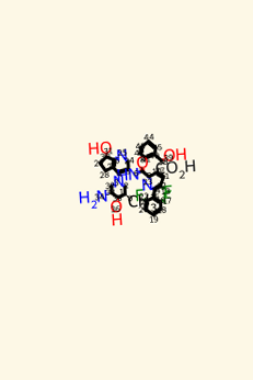 C[C@H]1CN(c2c(NC(=O)c3ccc(F)c(-c4c(F)cccc4F)n3)cnc3c2CC[C@H]3O)C[C@@H](N)[C@@H]1O.O=C(O)C(O)c1ccccc1